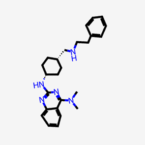 CN(C)c1nc(N[C@H]2CC[C@@H](CNCCc3ccccc3)CC2)nc2ccccc12